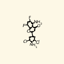 Nc1c(Cl)cc(-c2cc(=O)c3c(N)c(F)cc(F)c3o2)cc1Cl